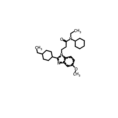 CCC1CCC(c2nc3cc(OC)ccc3n2CCC(=O)N(CC)C2CCCCC2)CC1